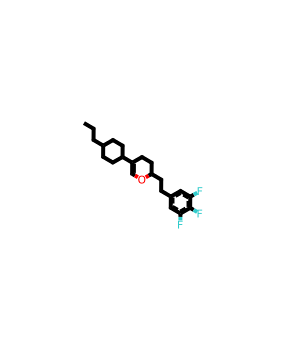 CCCC1CCC(C2=COC(CCc3cc(F)c(F)c(F)c3)CC2)CC1